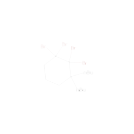 CCCCC1(CCCC)CCCC(Br)(Br)C1(Br)Br